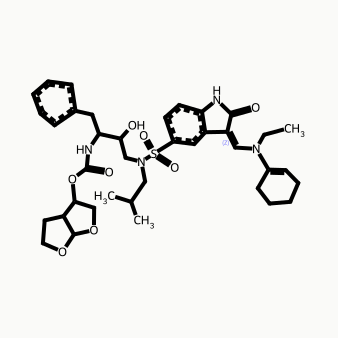 CCN(/C=C1\C(=O)Nc2ccc(S(=O)(=O)N(CC(C)C)CC(O)C(Cc3ccccc3)NC(=O)OC3COC4OCCC34)cc21)C1=CCCCC1